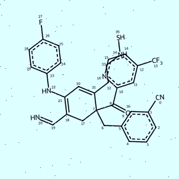 N#Cc1cccc(CC2(C(=O)c3cc(C(F)(F)F)ccn3)CC(C=N)=C(Nc3ccc(F)cc3)C=C2CCNS)c1